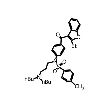 CCCCN(CCCC)CCCN(c1ccc(C(=O)c2c(CC)oc3ccccc23)cc1)S(=O)(=O)c1ccc(C)cc1